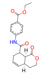 CCOC(=O)c1ccc(NC(=O)C2CC=C[C@@H]3CCOC(=O)[C@H]23)cc1